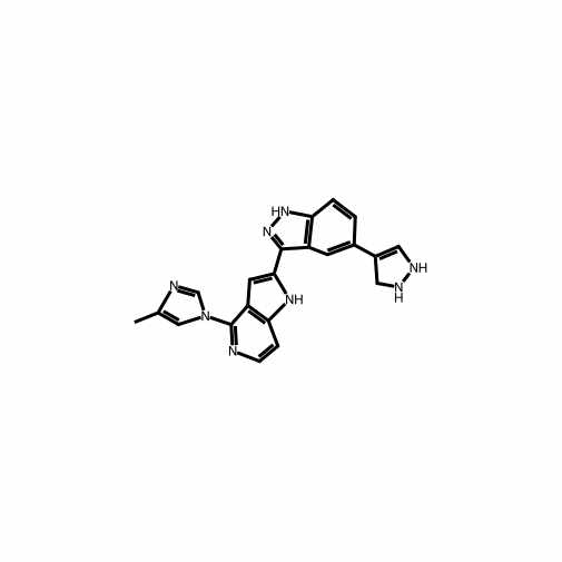 Cc1cn(-c2nccc3[nH]c(-c4n[nH]c5ccc(C6=CNNC6)cc45)cc23)cn1